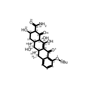 CCCCOc1cccc2c1C(=O)C1=C(O)[C@]3(O)C(=O)C(C(N)=O)C(O)C[C@@H]3[C@@H](O)[C@@H]1[C@H]2C